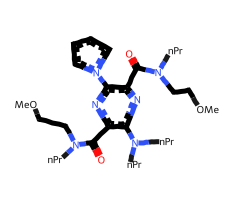 CCCN(CCOC)C(=O)c1nc(-n2cccc2)c(C(=O)N(CCC)CCOC)nc1N(CCC)CCC